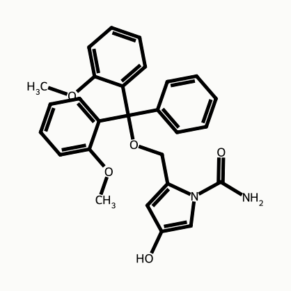 COc1ccccc1C(OCc1cc(O)cn1C(N)=O)(c1ccccc1)c1ccccc1OC